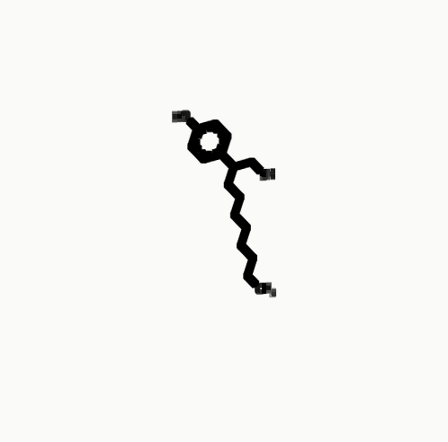 CCCCCCCCC(CS)c1ccc(O)cc1